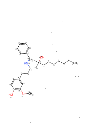 CCCCCCCC(C)(O)CC(CCc1ccc(O)c(OC)c1)NCc1ccccc1